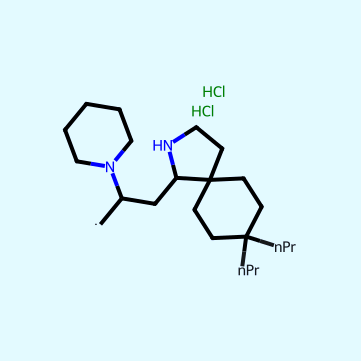 Cl.Cl.[CH2]C(CC1NCCC12CCC(CCC)(CCC)CC2)N1CCCCC1